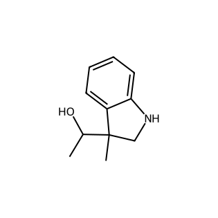 CC(O)C1(C)CNc2ccccc21